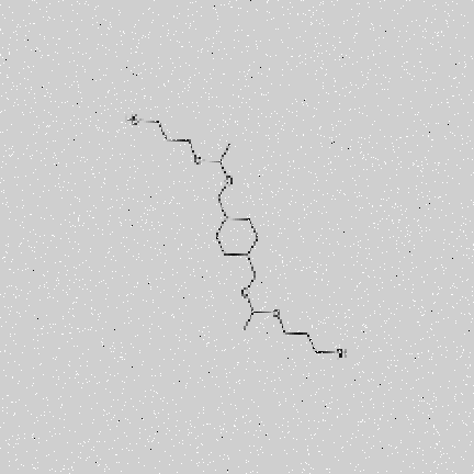 CC(OCCCS)OCC1CCC(COC(C)OCCCS)CC1